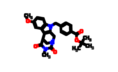 COc1ccc2c(c1)c1c(n2Cc2ccc(C(=O)OC(C)(C)C)cc2)CN2CC1C(=O)N(C)C2=O